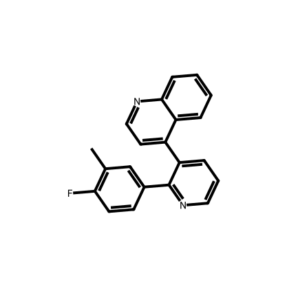 Cc1cc(-c2ncccc2-c2ccnc3ccccc23)ccc1F